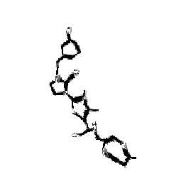 Cc1cnc(CNC(=O)c2sc(N3CCN(Cc4cccc(Cl)c4)C3=O)nc2C)cn1